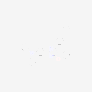 c1ccc(-c2ccc(-c3nc(-c4ccc5c(c4)c4ccccc4n5-c4ccccc4)nc4oc5ccccc5c34)cc2)cc1